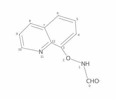 O=[C]NOc1cccc2cccnc12